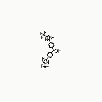 Cn1cc(C(F)(F)F)nc1-c1ccc(C(O)c2ccc(-c3nc(C(F)(F)F)cn3C)cc2)cc1